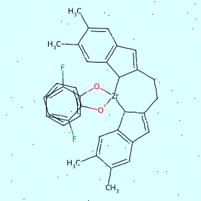 Cc1cc2c(cc1C)[CH]1C(=C2)CCC2=Cc3cc(C)c(C)cc3[CH]2[Zr]1([O]c1ccccc1F)[O]c1ccccc1F